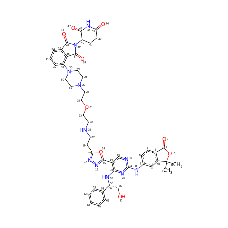 CC1(C)OC(=O)c2ccc(Nc3ncc(-c4nnc(CCNCCOCCN5CCN(c6cccc7c6C(=O)N(C6CCC(=O)NC6=O)C7=O)CC5)o4)c(N[C@H](CO)c4ccccc4)n3)cc21